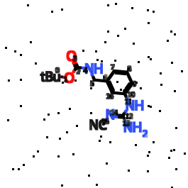 CC(C)(C)OC(=O)NCc1cccc(NC(N)=NC#N)c1